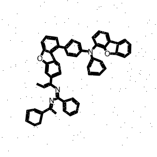 C/C=C(/N=C(\N=C(/C)C1=CC=CCC1)c1ccccc1)c1ccc2c(c1)oc1cccc(-c3ccc(N(c4ccccc4)c4cccc5c4oc4ccccc45)cc3)c12